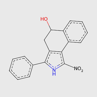 O=[N+]([O-])c1[nH]c(-c2ccccc2)c2c1-c1ccccc1C(O)C2